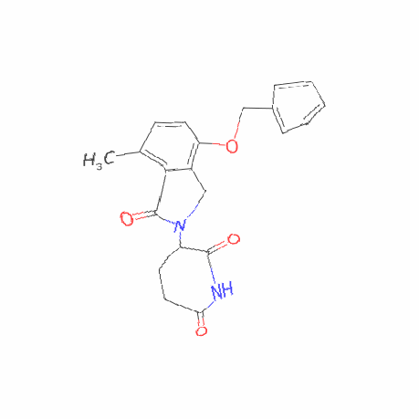 Cc1ccc(OCc2ccccc2)c2c1C(=O)N(C1CCC(=O)NC1=O)C2